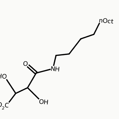 CCCCCCCCCCCCNC(=O)C(O)C(O)C(=O)O